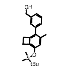 Cc1cc(O[Si](C)(C)C(C)(C)C)c2c(c1-c1cccc(CO)c1)CC2